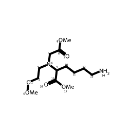 COOCCN(CC(=O)OC)C(CCCCN)C(=O)OC